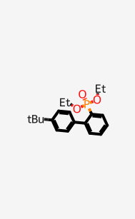 CCOP(=O)(OCC)c1ccccc1-c1ccc(C(C)(C)C)cc1